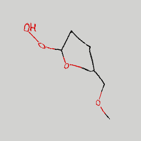 COCC1CCC(OO)O1